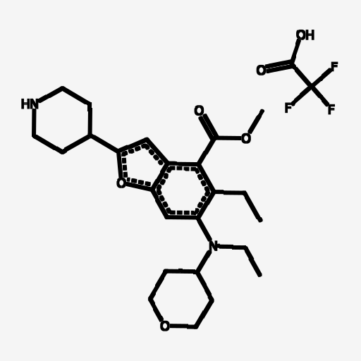 CCc1c(N(CC)C2CCOCC2)cc2oc(C3CCNCC3)cc2c1C(=O)OC.O=C(O)C(F)(F)F